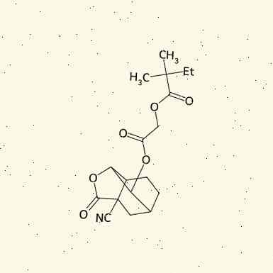 CCC(C)(C)C(=O)OCC(=O)OC1C2CCC3C1OC(=O)C3(C#N)C2